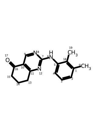 Cc1cccc(Nc2ncc3c(n2)CCCC3=O)c1C